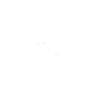 NC1=CCN(C=O)S1